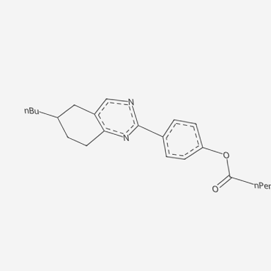 CCCCCC(=O)Oc1ccc(-c2ncc3c(n2)CCC(CCCC)C3)cc1